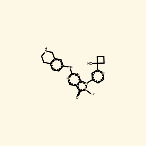 CC(C)n1c(=O)c2cnc(Nc3ccc4c(c3)CNCC4)nc2n1-c1ccnc(C2(C#N)CCC2)c1